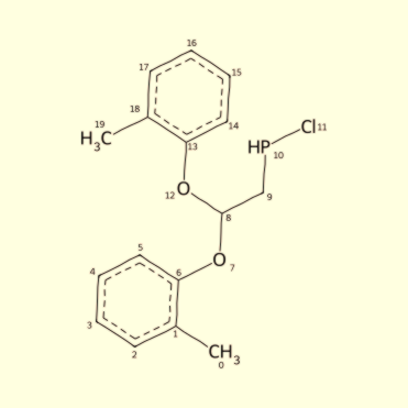 Cc1ccccc1OC(CPCl)Oc1ccccc1C